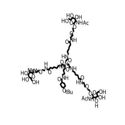 CC(=O)NC1C(OCCOCCNC(=O)CCCCCNC(=O)CN(CC(=O)NCCCCCC(=O)NCCOCCOC2OC(CO)C(O)C(O)C2NC(C)=O)C(CCCCNC(=O)C2CCC(OC(C)(C)C)CC2)C(=O)NCCCCCC(=O)NCCOCCOC2OC(CO)C(O)C(O)C2NC(C)=O)OC(CO)C(O)C1O